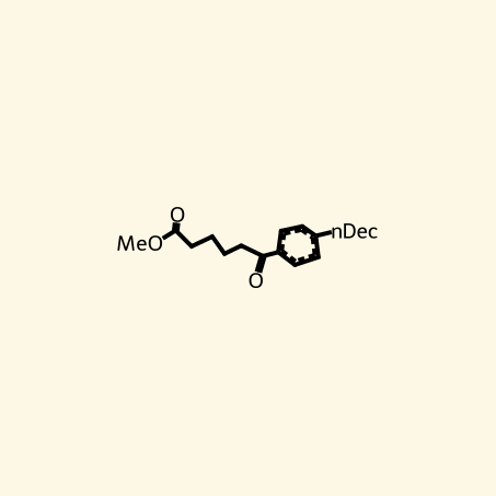 CCCCCCCCCCc1ccc(C(=O)CCCCC(=O)OC)cc1